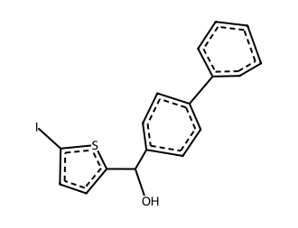 OC(c1ccc(-c2ccccc2)cc1)c1ccc(I)s1